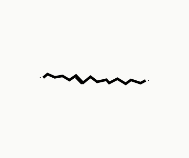 [CH2]CCCCC=CCCCCCCCC[CH2]